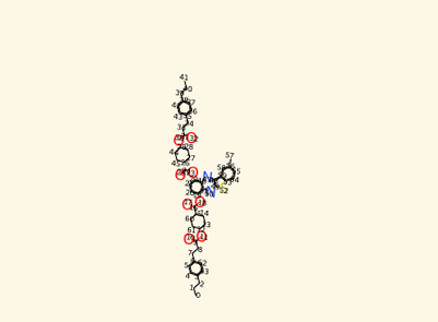 CCCc1ccc(CCC(=O)O[C@H]2CC[C@H](C(=O)Oc3ccc(OC(=O)[C@H]4CC[C@H](OC(=O)CCc5ccc(CCC)cc5)CC4)c4nc5c(nc34)sc3ccc(C)cc35)CC2)cc1